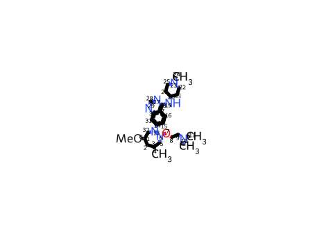 COC1CC(C)CN(OCCN(C)C)N(c2ccc3c(NC4CCN(C)CC4)ncnc3c2)C1